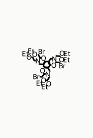 CCOC(CN(Cc1cc(CN(CC(OCC)OCC)C(=O)CBr)cc(CN(CC(OCC)OCC)C(=O)CBr)c1)C(=O)CBr)OCC